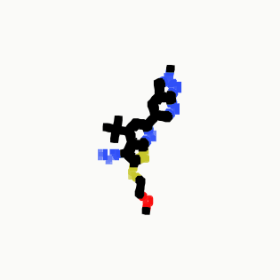 COCCSc1sc2nc(-c3cnc4nn(C)cc4c3)cc(C(C)(C)C)c2c1N